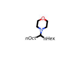 CCCCCCCCC(CCCCCC)N1CCOCC1